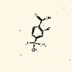 C[N+](C)(C)c1ccc(C(=O)O)c(F)c1